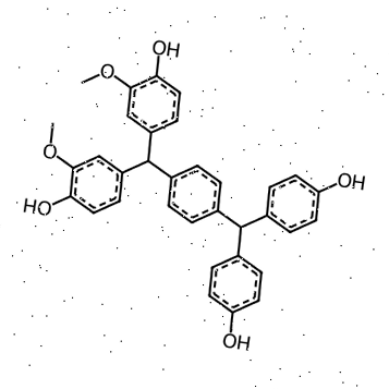 COc1cc(C(c2ccc(C(c3ccc(O)cc3)c3ccc(O)cc3)cc2)c2ccc(O)c(OC)c2)ccc1O